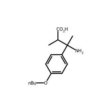 CCCCOc1ccc(C(C)(N)C(C)C(=O)O)cc1